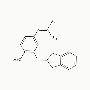 COc1ccc(C=C(C)C(C)=O)cc1OC1Cc2ccccc2C1